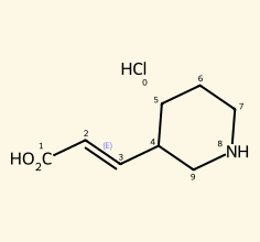 Cl.O=C(O)/C=C/C1CCCNC1